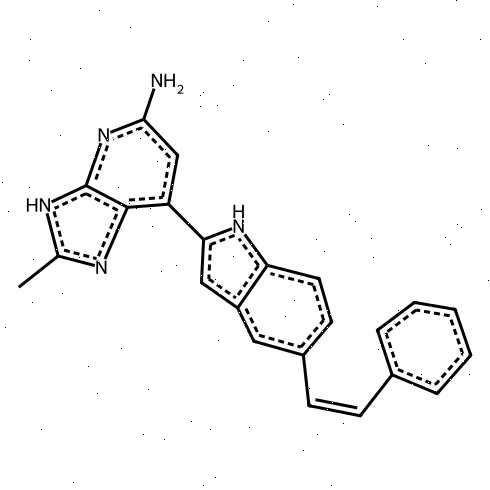 Cc1nc2c(-c3cc4cc(/C=C\c5ccccc5)ccc4[nH]3)cc(N)nc2[nH]1